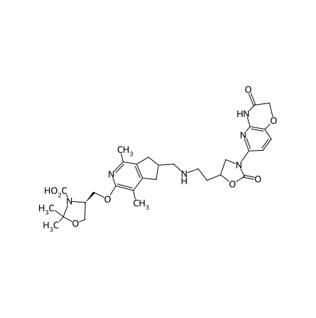 Cc1nc(OC[C@H]2COC(C)(C)N2C(=O)O)c(C)c2c1CC(CNCCC1CN(c3ccc4c(n3)NC(=O)CO4)C(=O)O1)C2